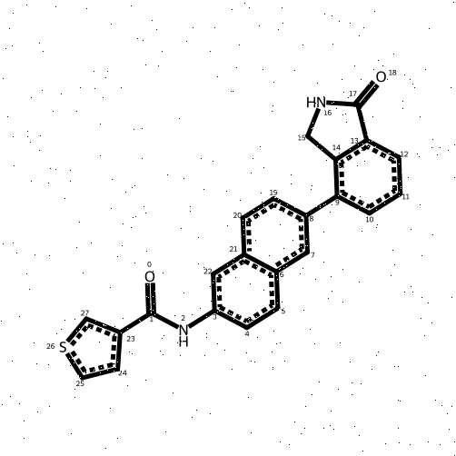 O=C(Nc1ccc2cc(-c3cccc4c3CNC4=O)ccc2c1)c1ccsc1